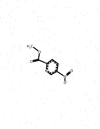 COC(=O)c1ccc([N+](=O)[O-])cn1